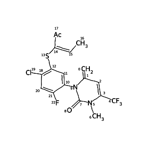 C=C1C=C(C(F)(F)F)N(C)C(=O)N1c1cc(SC(=CC)C(C)=O)c(Cl)cc1F